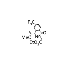 C=C(OC)c1nn(CC(=O)OCC)c(=O)c2ccc(C(F)(F)F)cc12